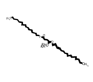 CCCCCCCCCCCCCCCCOC(=O)CCC(=O)OCCCCCCCCCCCCCCCC.[KH].[KH]